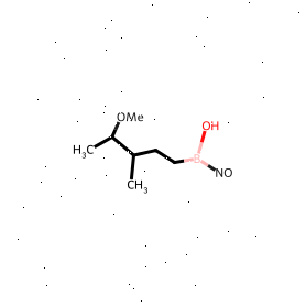 COC(C)C(C)CCB(O)N=O